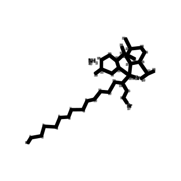 CCCCCCCCCCCCCCC(CCBr)C(Br)(C1CC(C)CCC1C(C)C)C1CC(C)CCC1C(C)C.N